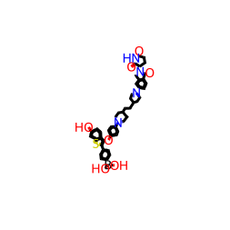 O=C1CCC(N2Cc3cc(N4CCC(CCC5CCN(c6ccc(Oc7c(-c8ccc(B(O)O)cc8)sc8cc(O)ccc78)cc6)CC5)CC4)ccc3C2=O)C(=O)N1